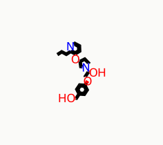 CCCc1ncccc1OC1CCN(C(O)COc2ccc(CO)cc2)C1